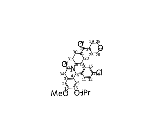 COc1cc2c(cc1OC(C)C)[C@H](c1ccc(Cl)cc1)N(C1CCC(C(=O)C3CCOCC3)CC1)C(=O)C2